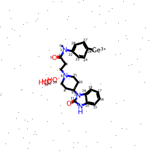 CN(C(=O)CCN1CCC(n2c(=O)[nH]c3ccccc32)CC1)c1cc[c]([Ge+3])cc1.[OH-].[OH-].[OH-]